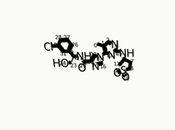 Cc1cnc(NC2CCS(=O)(=O)C2)nc1-n1cnc(C(=O)N[C@H](CO)c2cccc(Cl)c2)c1